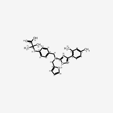 Cc1ccc(-c2noc(N(Cc3ccc(SC(C)(C)C(=O)O)cc3)Cc3ccco3)n2)c(C)c1